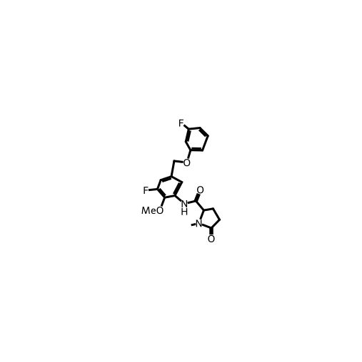 COc1c(F)cc(COc2cccc(F)c2)cc1NC(=O)C1CCC(=O)N1C